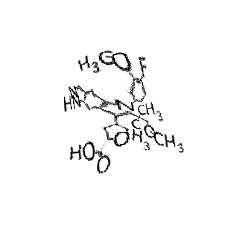 COCC(C)(C)c1c([C@H]2CO[C@H](C(=O)O)C2)c2cc3[nH]ncc3cc2n1-c1ccc(F)c(OC)c1